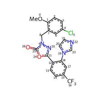 COc1ccc(Cl)cc1Cn1nc(-c2ccc(C(F)(F)F)cc2-n2ccnc2)oc1=O